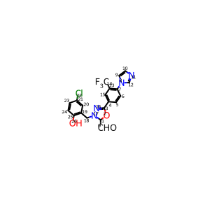 O=CC1OC(c2ccc(-n3ccnc3)c(C(F)(F)F)c2)=NN1Cc1cc(Cl)ccc1O